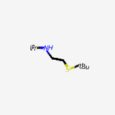 CC(C)NCCSC(C)(C)C